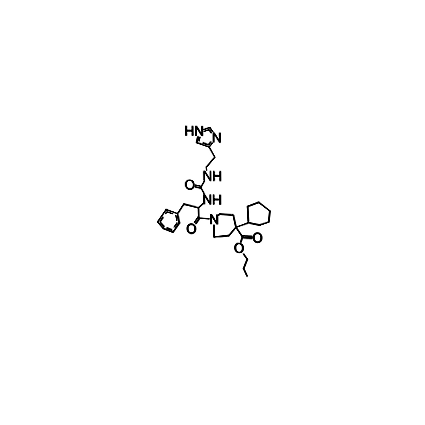 CCCOC(=O)C1(C2CCCCC2)CCN(C(=O)C(Cc2ccccc2)NC(=O)NCCc2c[nH]cn2)CC1